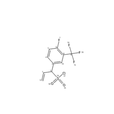 C=CC(c1ccc(F)c(C(F)(F)F)c1)S(=O)(=O)Cl